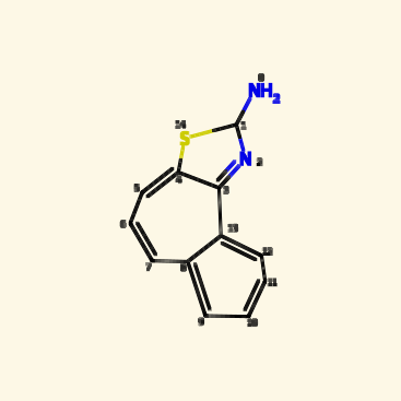 NC1N=C2C(=CC=Cc3ccccc32)S1